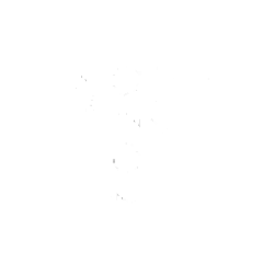 CC(C)CC(C(=O)Nc1ccc([N+](=O)[O-])cc1Cl)c1cccc(C(N)=O)c1O